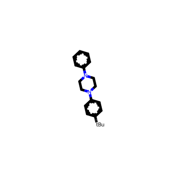 CC(C)(C)c1ccc(N2CCN(c3ccccc3)CC2)cc1